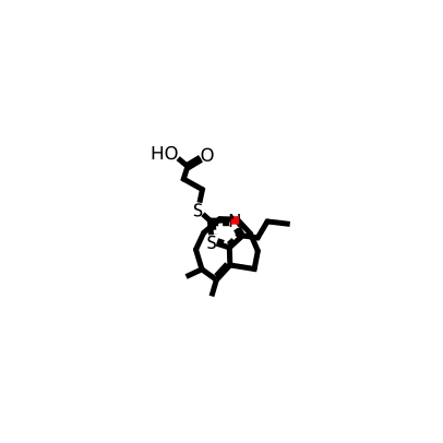 CCCc1nc(SCCC(=O)O)sc1/C1=C(/C)C(C)CCCCCCC1